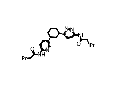 CC(C)CC(=O)Nc1ccc([C@@H]2CCC[C@H](c3ccc(NC(=O)CC(C)C)nn3)C2)nn1